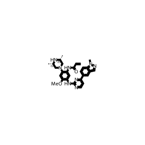 C=CC(=O)Nc1cc(Nc2nccc(-c3ccc4c(cnn4C)c3)n2)c(OC)cc1N1C[C@@H](C)N[C@@H](C)C1